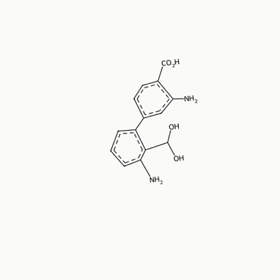 Nc1cc(-c2cccc(N)c2C(O)O)ccc1C(=O)O